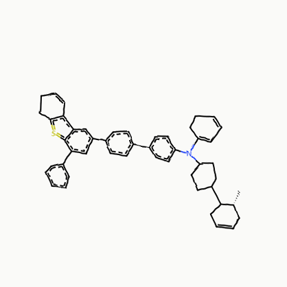 C[C@@H]1CC=CCC1C1CCC(N(C2=CC=CCC2)c2ccc(-c3ccc(-c4cc(-c5ccccc5)c5sc6c(c5c4)C=CCC6)cc3)cc2)CC1